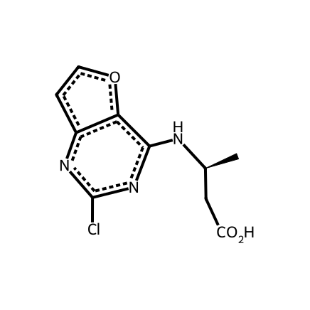 C[C@@H](CC(=O)O)Nc1nc(Cl)nc2ccoc12